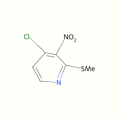 CSc1nccc(Cl)c1[N+](=O)[O-]